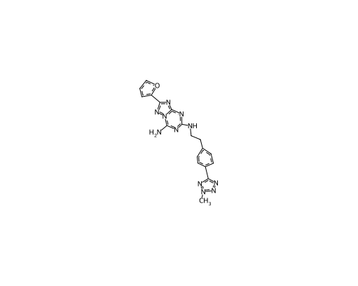 Cn1nnc(-c2ccc(CCNc3nc(N)n4nc(-c5ccco5)nc4n3)cc2)n1